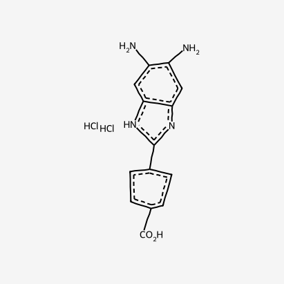 Cl.Cl.Nc1cc2nc(-c3ccc(C(=O)O)cc3)[nH]c2cc1N